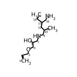 C=CCOCC(O)CNCC(C)CC(CC)CN